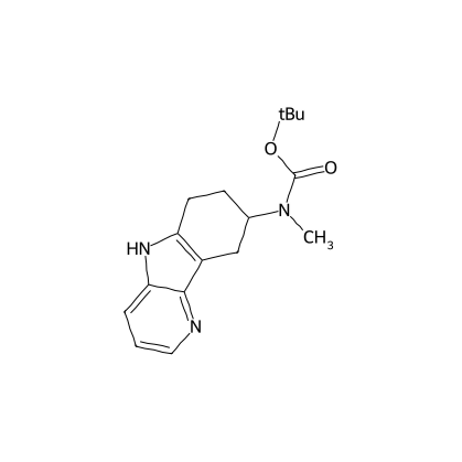 CN(C(=O)OC(C)(C)C)C1CCc2[nH]c3cccnc3c2C1